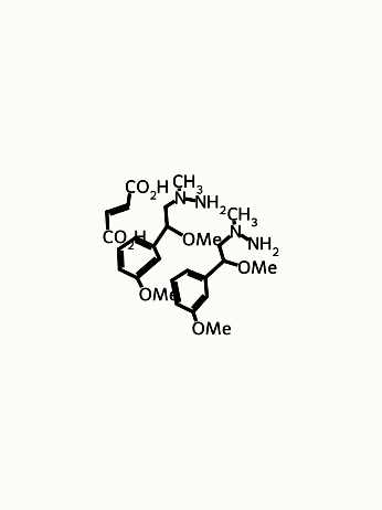 COc1cccc(C(CN(C)N)OC)c1.COc1cccc(C(CN(C)N)OC)c1.O=C(O)/C=C/C(=O)O